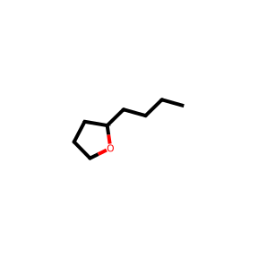 CCCC[C]1CCCO1